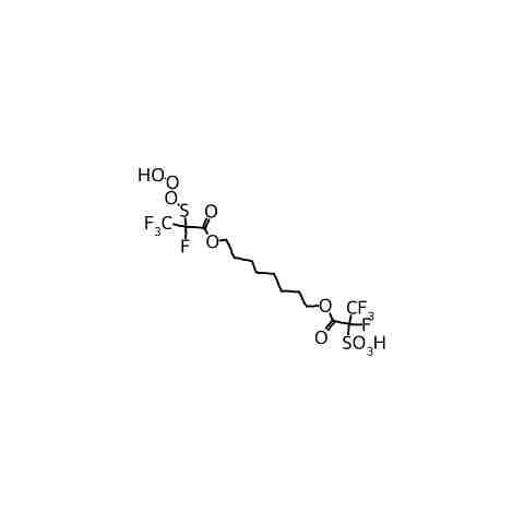 O=C(OCCCCCCCCOC(=O)C(F)(C(F)(F)F)S(=O)(=O)O)C(F)(SOOO)C(F)(F)F